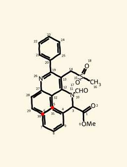 COC(=O)C(c1ccccc1)N(C=O)c1c(CS(C)(=O)=O)c(-c2ccccc2)nc2ccccc12